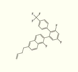 C=CCCc1ccc2c(F)c(-c3cc(F)cc(F)c3-c3ccc(C(F)(F)F)cc3)ccc2c1